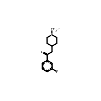 CCOC(=O)N1CCC(CC(=O)c2cccc(F)c2)CC1